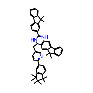 CC1(C)c2ccccc2-c2ccc(C(=N)NC(Cc3ccc(-c4ccc5c(c4)C(C)(C)C(C)(C)C5(C)C)nc3)c3ccc4c(c3)C(C)(C)c3ccccc3-4)cc21